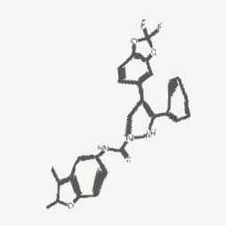 CC1Oc2ccc(NC(=O)N3CC(c4ccc5c(c4)OC(F)(F)O5)=C(c4ccccc4)N3)cc2C1C